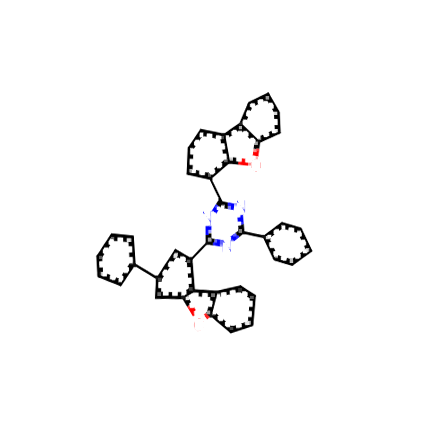 c1ccc(-c2cc(-c3nc(-c4ccccc4)nc(-c4cccc5c4oc4ccccc45)n3)c3c(c2)oc2ccccc23)cc1